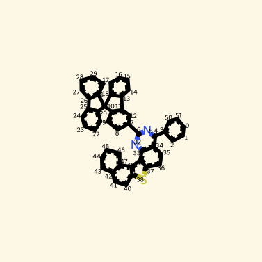 c1ccc(-c2nc(-c3ccc4c(c3)-c3ccccc3C43c4ccccc4-c4ccccc43)nc3c2ccc2sc4ccc5ccccc5c4c23)cc1